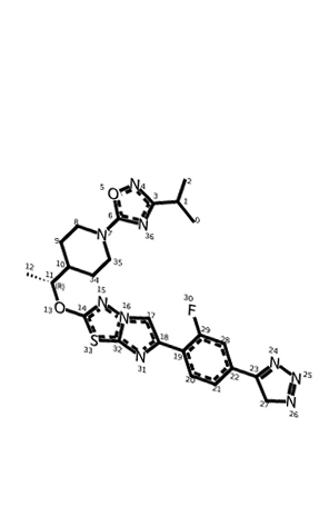 CC(C)c1noc(N2CCC([C@@H](C)Oc3nn4cc(-c5ccc(C6=NN=NC6)cc5F)nc4s3)CC2)n1